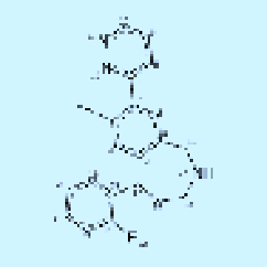 Fc1cc2c(cc1-c1cccnn1)CNCCC2c1ccccc1F